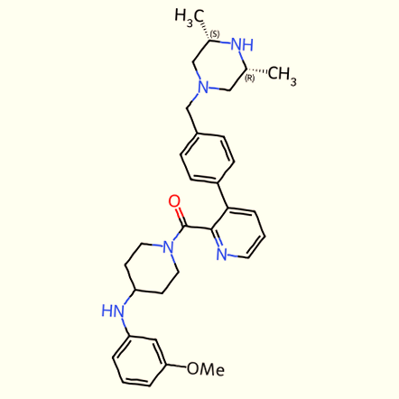 COc1cccc(NC2CCN(C(=O)c3ncccc3-c3ccc(CN4C[C@@H](C)N[C@@H](C)C4)cc3)CC2)c1